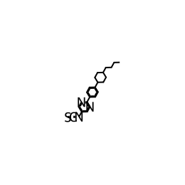 CCCCC1CCC(c2ccc(-c3ncc(N=C=S)cn3)cc2)CC1